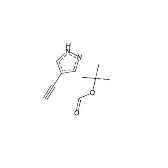 C#Cc1cn[nH]c1.CC(C)(C)OC=O